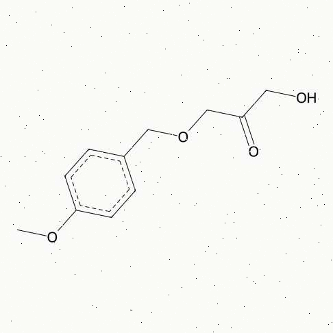 COc1ccc(COCC(=O)CO)cc1